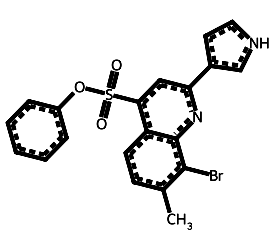 Cc1ccc2c(S(=O)(=O)Oc3ccccc3)cc(-c3cc[nH]c3)nc2c1Br